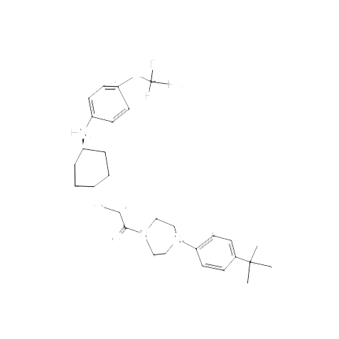 CC(C)(C)c1ccc(N2CCN(C(=O)CO[C@H]3CC[C@H](Nc4ccc(SC(F)(F)F)cc4)CC3)CC2)cc1